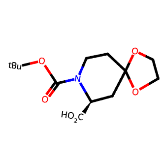 CC(C)(C)OC(=O)N1CCC2(C[C@H]1C(=O)O)OCCO2